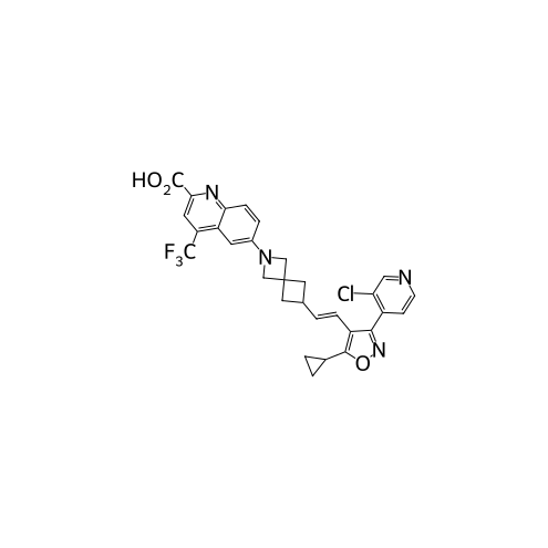 O=C(O)c1cc(C(F)(F)F)c2cc(N3CC4(CC(/C=C/c5c(-c6ccncc6Cl)noc5C5CC5)C4)C3)ccc2n1